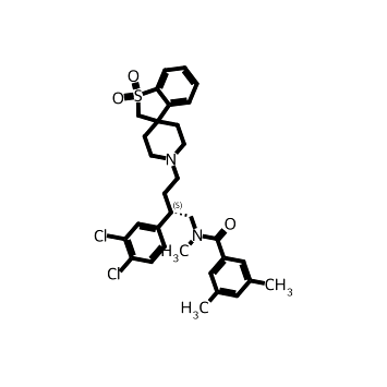 Cc1cc(C)cc(C(=O)N(C)C[C@@H](CCN2CCC3(CC2)CS(=O)(=O)c2ccccc23)c2ccc(Cl)c(Cl)c2)c1